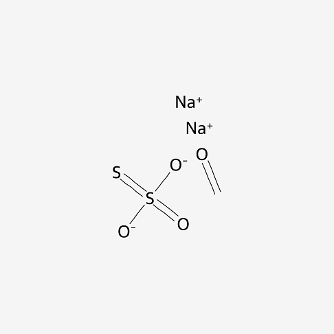 C=O.O=S([O-])([O-])=S.[Na+].[Na+]